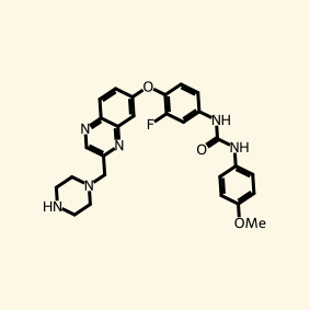 COc1ccc(NC(=O)Nc2ccc(Oc3ccc4ncc(CN5CCNCC5)nc4c3)c(F)c2)cc1